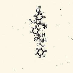 CCn1c(-c2cccc(NC(=O)NCCc3ccccc3)c2)c(C#N)c2ccc(OC)cc21